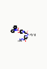 CCCCCN(C(=O)CCN1CCC(OC(=O)Nc2ccccc2-c2ccccc2)CC1)N1CCC(C(=O)NCCC)CC1